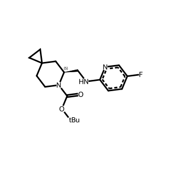 CC(C)(C)OC(=O)N1CCC2(CC2)C[C@H]1CNc1ccc(F)cn1